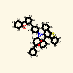 c1ccc(-c2ccc(N(c3ccc(-c4cccc5c4oc4ccccc45)cc3)c3c(-c4ccccc4)c4c5ccccc5sc4c4ccccc34)cc2)cc1